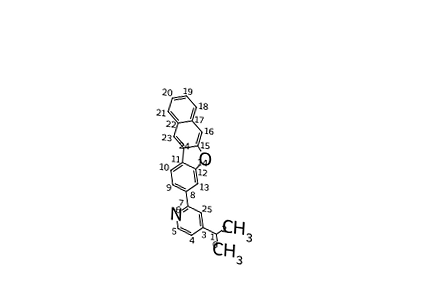 CC(C)c1ccnc(-c2ccc3c(c2)oc2cc4ccccc4cc23)c1